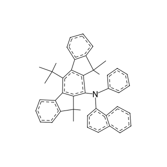 CC(C)(C)c1c2c(c(N(c3ccccc3)c3cccc4ccccc34)c3c1-c1ccccc1C3(C)C)C(C)(C)c1ccccc1-2